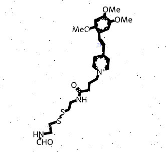 COc1cc(OC)c(OC)cc1/C=C/c1cc[n+](CCCC(=O)NCCSSCCNC=O)cc1